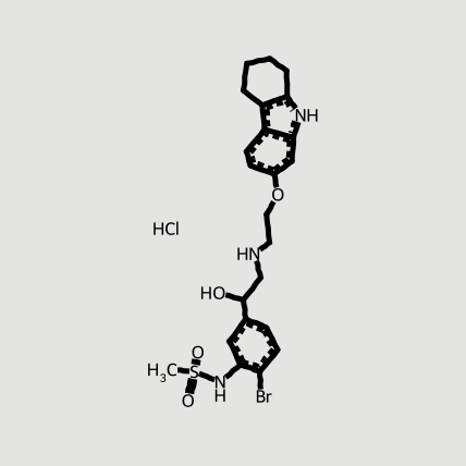 CS(=O)(=O)Nc1cc(C(O)CNCCOc2ccc3c4c([nH]c3c2)CCCC4)ccc1Br.Cl